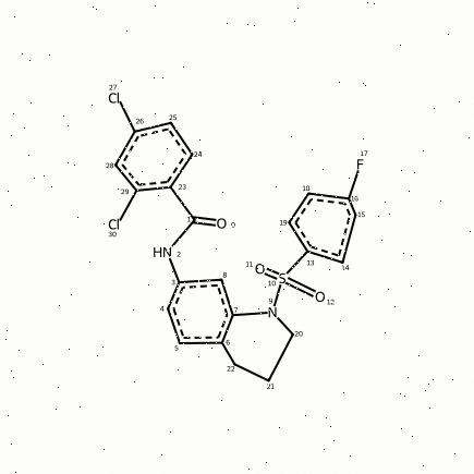 O=C(Nc1ccc2c(c1)N(S(=O)(=O)c1ccc(F)cc1)CCC2)c1ccc(Cl)cc1Cl